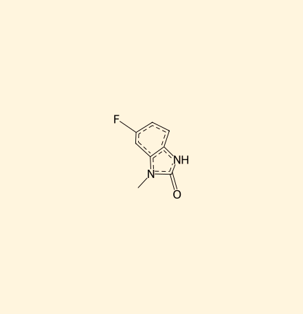 Cn1c(=O)[nH]c2ccc(F)cc21